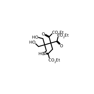 CCOC(=O)C(=O)CC(C(=O)C(=O)OCC)(C(=O)C(=O)OCC)C(CO)(CO)CO